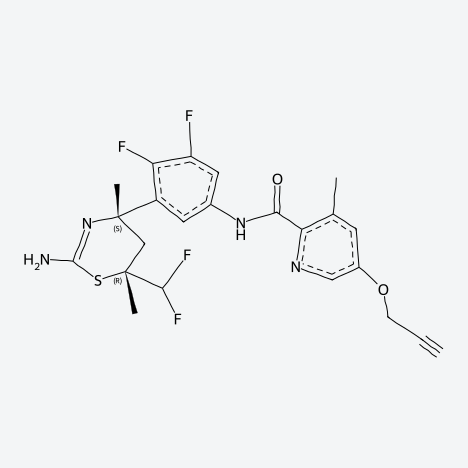 C#CCOc1cnc(C(=O)Nc2cc(F)c(F)c([C@]3(C)C[C@](C)(C(F)F)SC(N)=N3)c2)c(C)c1